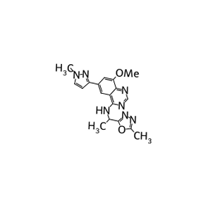 COc1cc(-c2ccn(C)n2)cc2c(NC(C)c3nnc(C)o3)ncnc12